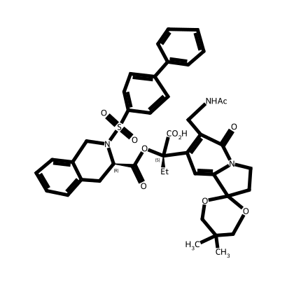 CC[C@@](OC(=O)[C@H]1Cc2ccccc2CN1S(=O)(=O)c1ccc(-c2ccccc2)cc1)(C(=O)O)c1cc2n(c(=O)c1CNC(C)=O)CCC21OCC(C)(C)CO1